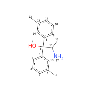 Cc1cccc(C(O)(c2cccc(C)c2)C(C)N)c1